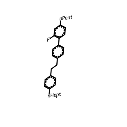 CCCCCCCc1ccc(CCc2ccc(-c3ccc(CCCCC)cc3F)cc2)cc1